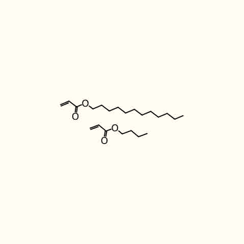 C=CC(=O)OCCCC.C=CC(=O)OCCCCCCCCCCCC